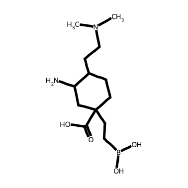 CN(C)CCC1CCC(CCB(O)O)(C(=O)O)CC1N